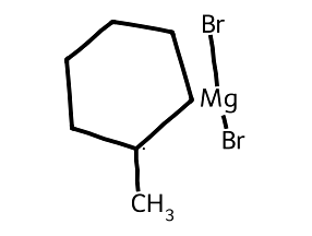 C[C]1CCCCC1.[Br][Mg][Br]